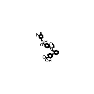 Cc1ccc(CNC(=O)c2ccc3c(c2)OCCN3Cc2ccccc2-c2ccc(C(=O)O)cc2)cc1F